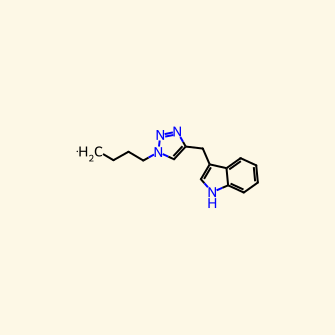 [CH2]CCCn1cc(Cc2c[nH]c3ccccc23)nn1